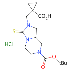 CC(C)(C)OC(=O)N1CCN2C(=S)N(CC3(C(=O)O)CC3)CC2C1.Cl